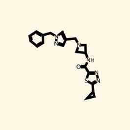 O=C(NC1CN(Cc2cnn(Cc3ccccc3)c2)C1)c1nnc(C2CC2)s1